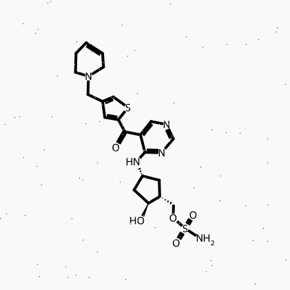 NS(=O)(=O)OC[C@H]1C[C@@H](Nc2ncncc2C(=O)c2cc(CN3CC=CCC3)cs2)C[C@@H]1O